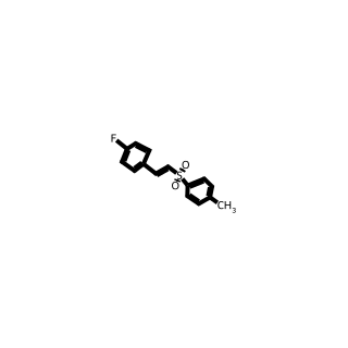 Cc1ccc(S(=O)(=O)C=Cc2ccc(F)cc2)cc1